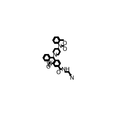 N#CCCNC(=O)c1ccc(C(c2ccccc2)N2CCC(N3C(=O)OCc4ccccc43)CC2)c([N+](=O)[O-])c1